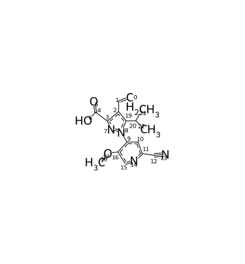 C=Cc1c(C(=O)O)nn(-c2cc(C#N)ncc2OC)c1C(C)C